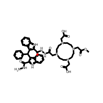 COC(=O)CN1CCN(CC(=O)O)CCN(CC(=O)NNC(=O)c2[nH]c3ccccc3c2C(c2ccccc2)c2c(C(=O)NN)[nH]c3ccccc23)CCN(CC(=O)O)CC1